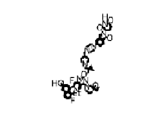 CCc1c(F)ccc2cc(O)cc(-c3ncc4c(N5CCC[C@@]6(CCO6)C5)nc(OCC5(CN6CCC(CN7CCN(c8ccc9c(c8)CN([C@H]8CCC(=O)NC8=O)C9=O)CC7)CC6)CC5)nc4c3F)c12